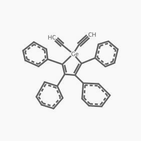 C#[C][Ge]1([C]#C)[C](c2ccccc2)=C(c2ccccc2)C(c2ccccc2)=[C]1c1ccccc1